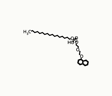 CCCCCCCCCCCCCCCCCOP(=O)(O)OCCOCCOc1cccc2ccccc12